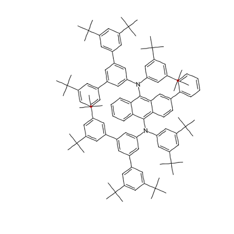 CC(C)(C)c1cccc(-c2cc(-c3cc(C(C)(C)C)cc(C(C)(C)C)c3)cc(N(c3cc(C(C)(C)C)cc(C(C)(C)C)c3)c3c4ccccc4c(N(c4cc(-c5cc(C(C)(C)C)cc(C(C)(C)C)c5)cc(-c5cc(C(C)(C)C)cc(C(C)(C)C)c5)c4)c4cc(C(C)(C)C)cc(C(C)(C)C)c4)c4ccc(-c5ccccc5)cc34)c2)c1